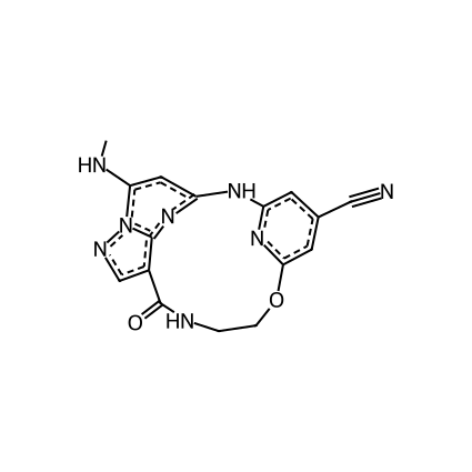 CNc1cc2nc3c(cnn13)C(=O)NCCOc1cc(C#N)cc(n1)N2